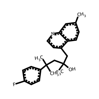 Cc1ccc2c(CC(O)(CC(C)(C)c3ccc(F)cc3)C(F)(F)F)ccnc2c1